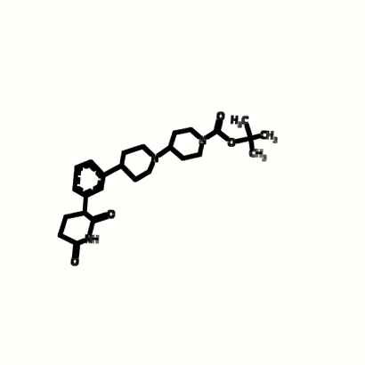 CC(C)(C)OC(=O)N1CCC(N2CCC(c3cccc(C4CCC(=O)NC4=O)c3)CC2)CC1